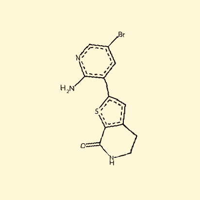 Nc1ncc(Br)cc1-c1cc2c(s1)C(=O)NCC2